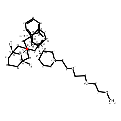 COCCOCCOCCN1CCC[C@H](c2nc3ccccc3n2[C@H]2C[C@H]3CCC[C@@H](C2)N3[C@H]2C[C@@H]3CCC[C@@H](C3)C2)C1